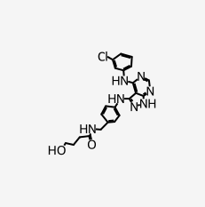 O=C(CCCO)NCc1ccc(Nc2n[nH]c3ncnc(Nc4cccc(Cl)c4)c23)cc1